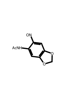 CC(=O)Nc1cc2c(cc1N=O)OCO2